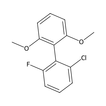 COc1cccc(OC)c1-c1c(F)cccc1Cl